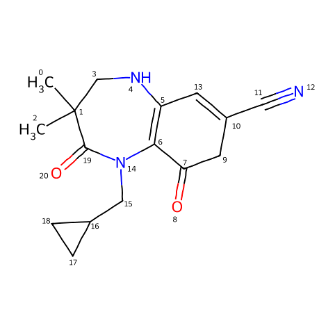 CC1(C)CNC2=C(C(=O)CC(C#N)=C2)N(CC2CC2)C1=O